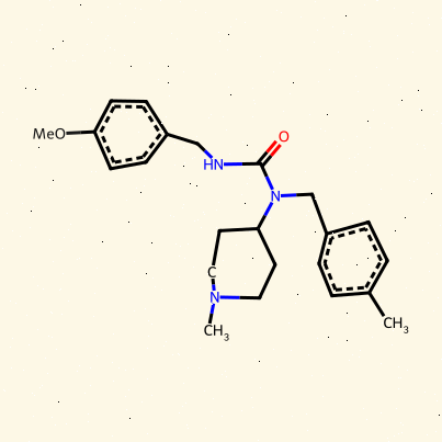 COc1ccc(CNC(=O)N(Cc2ccc(C)cc2)C2CCN(C)CC2)cc1